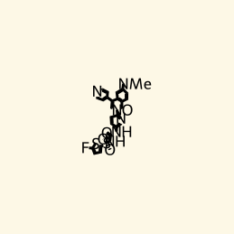 CNc1ccc2c(=O)n(-c3ccc(NC(=O)NS(=O)(=O)c4ccc(F)s4)cn3)cc(-c3ccncc3)c2c1